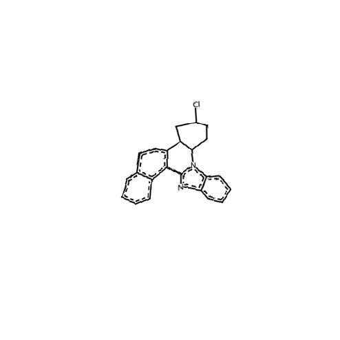 ClC1CCC2C(C1)c1ccc3ccccc3c1-c1nc3ccccc3n12